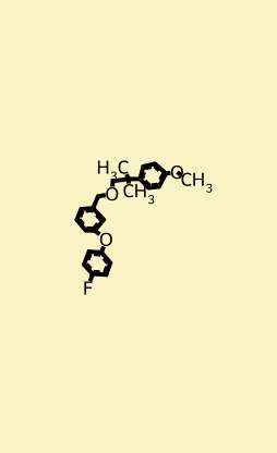 COc1ccc(C(C)(C)COCc2cccc(Oc3ccc(F)cc3)c2)cc1